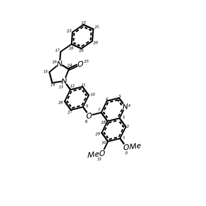 COc1cc2nccc(Oc3ccc(N4CCN(Cc5ccccc5)C4=O)cc3)c2cc1OC